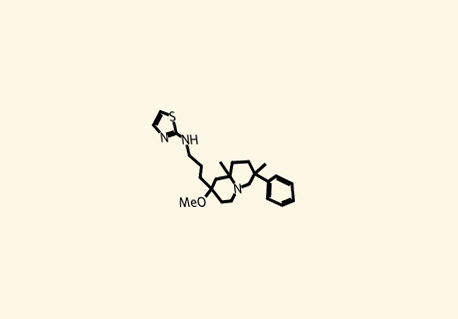 COC1(CCCNc2nccs2)CCN2CC(C)(c3ccccc3)CCC2(C)C1